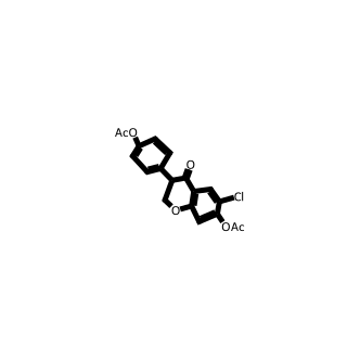 CC(=O)Oc1ccc(C2COc3cc(OC(C)=O)c(Cl)cc3C2=O)cc1